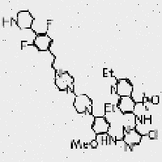 CCc1ccc2c(P(C)(C)=O)c(Nc3nc(Nc4cc(CC)c(N5CCC(N6CCN(CCc7cc(F)c(C8CCCNC8)c(F)c7)CC6)CC5)cc4OC)ncc3Cl)ccc2n1